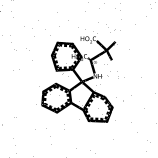 CC(C)(C(=O)O)[C@H](NC1(c2ccccc2)c2ccccc2-c2ccccc21)C(=O)O